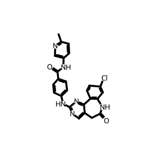 Cc1ccc(NC(=O)c2ccc(Nc3ncc4c(n3)-c3ccc(Cl)cc3NC(=O)C4)cc2)cn1